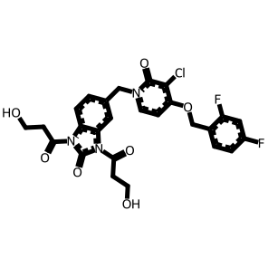 O=C(CCO)n1c(=O)n(C(=O)CCO)c2cc(Cn3ccc(OCc4ccc(F)cc4F)c(Cl)c3=O)ccc21